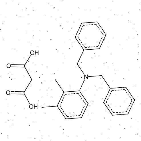 Cc1cccc(N(Cc2ccccc2)Cc2ccccc2)c1C.O=C(O)CC(=O)O